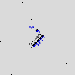 C#N.C#N.C#N.C#N.C#N.C#N.N.[Ni]